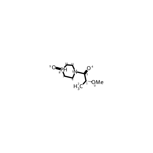 CO[C@H](C)C(=O)N1CC[PH](=O)CC1